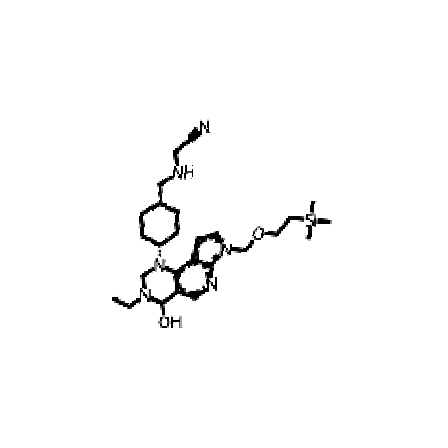 CCN1CN([C@H]2CC[C@H](CNCC#N)CC2)c2c(cnc3c2ccn3COCC[Si](C)(C)C)C1O